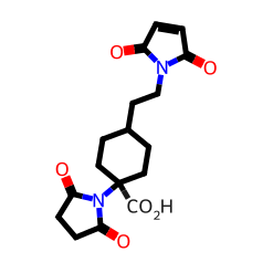 O=C1C=CC(=O)N1CCC1CCC(C(=O)O)(N2C(=O)CCC2=O)CC1